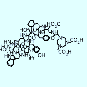 CC(C)C[C@@H](NC(=O)[C@H](Cc1ccc(O)cc1)NC(=O)C(CCCNC(=N)N)NC(=O)C(CO)NC(=O)C(Cc1ccccc1)NC(=O)[C@H](CC1CCCCC1)NC(=O)[C@H](CNC(=O)CN1CCN(CC(=O)O)CCN(CC(=O)O)CC1)CC(=O)O)C(=O)N[C@@H](Cc1c[nH]c2ccccc12)C(=O)N[C@@H](CO)C(=O)O